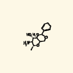 C[C@@H]1OC2COC(c3ccccc3)O[C@@H]2[C@@H](O)C1N